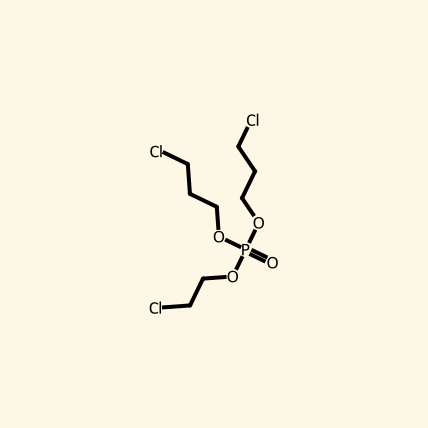 O=P(OCCCl)(OCCCCl)OCCCCl